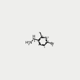 Cc1nc(Br)ccc1NN